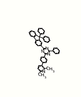 Cc1ccc(-c2ccc(-c3nc(-c4ccccc4)nc(-c4ccc5c(c4)C(c4ccccc4)(c4ccccc4)c4ccccc4-5)n3)cc2)c(C)n1